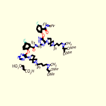 CCN(C(=O)c1cc(F)ccc1Oc1nncnc1N1CCC2(C1)CN([C@H](CCCN(C)CC(OC)OC)C(C)C)C2)C(C)C.CCN(C(=O)c1cc(F)ccc1Oc1nncnc1N1CCC2(C1)CN([C@H](CCCN(C)CC(OC)OC)C(C)C)C2)C(C)C.O=C(O)/C=C/C(=O)O